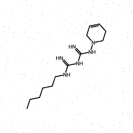 CCCCCCNC(=N)NC(=N)NN1CC=CCC1